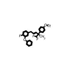 CCOc1ccc(C(C)(C=CCc2ccc(F)c(Oc3ccccc3)c2)C(F)F)cc1